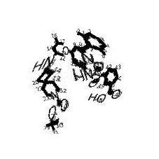 Cc1cccc(C)c1-c1cc(OCC(CC(C)C)NC2CC3(CCN(C(=O)OC(C)(C)C)CC3)C2)cc(NS(=O)(=O)c2cccc(C(=O)O)c2)n1